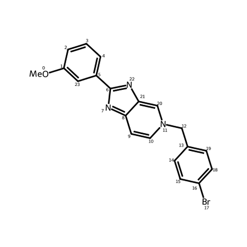 COc1cccc(-c2nc3ccn(Cc4ccc(Br)cc4)cc-3n2)c1